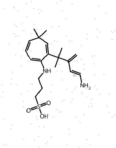 C=C(/C=C/N)C(C)(C)C1=CC(C)(C)C=CC=C1NCCCS(=O)(=O)O